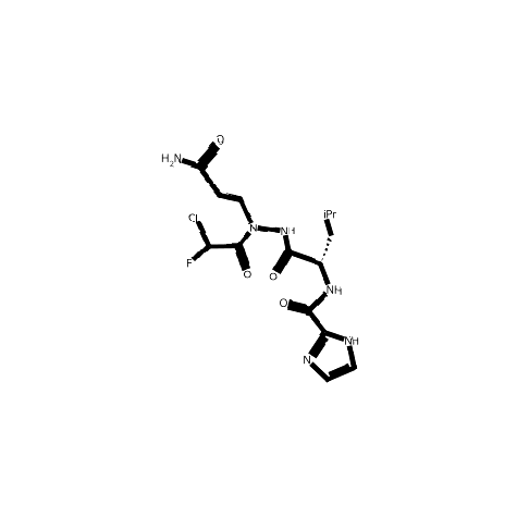 CC(C)C[C@H](NC(=O)c1ncc[nH]1)C(=O)NN(CCC(N)=O)C(=O)C(F)Cl